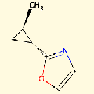 C[C@@H]1C[C@H]1c1ncco1